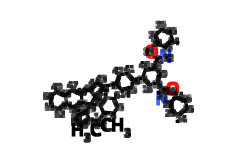 CC1(C)c2ccccc2C2(c3cc(-c4ccc(-c5cc(-c6nc7ccccc7o6)cc(-c6nc7ccccc7o6)c5)cc4)ccc3-c3cc4ccccc4cc32)c2ccccc21